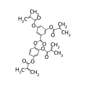 C=C(C)C(=O)Oc1cc(OC(=O)C(=C)C)cc(C(=O)Oc2ccc(OC(=O)C(=C)C)cc2OC(=O)C(=C)C)c1